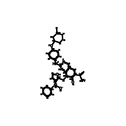 C=C(c1cc2cnc(Nc3ccc(OC4CCCN(C)C4)cc3)nc2n(Cc2occc2[S+]([O-])c2ccccc2)c1=O)C(C)C